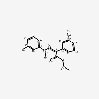 COCC(=O)C(=NN(C)c1cccc(C)c1)c1cccc(Cl)c1